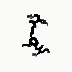 C/C=C(/C)C(=O)OC/C=C/c1ccc(OC(=O)/C(C)=C\C)c(OC)c1